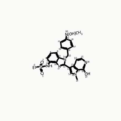 CCS(=O)(=O)Nc1cccc2c1nc(-c1cn(C)c3c(O)nccc13)n2Cc1ccc(N(C)O)cc1